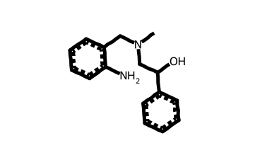 CN(Cc1ccccc1N)CC(O)c1ccccc1